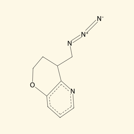 [N-]=[N+]=NCC1CCOc2cccnc21